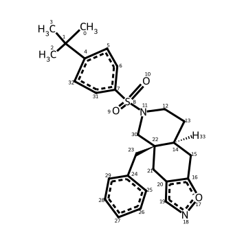 CC(C)(C)c1ccc(S(=O)(=O)N2CC[C@H]3Cc4oncc4C[C@]3(Cc3ccccc3)C2)cc1